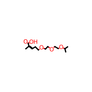 CC(=CCCOCCOCCOC(C)C)C(=O)O